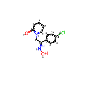 O=c1ccccn1C/C(=N/O)c1ccc(Cl)cc1